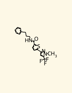 Cn1nc(-c2ccc(C(=O)NCCCc3ccccc3)s2)cc1C(F)(F)F